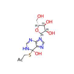 CC(=O)CSC1(O)NC=Nc2c1ncn2[C@@H]1O[C@H](CO)[C@@H](O)[C@H]1O